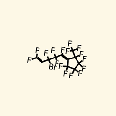 FC(F)=CC(F)(Br)C(F)(F)C(F)=C1C(F)(F)C(F)(F)C(F)(F)C1(F)C(F)(F)F